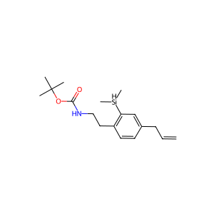 C=CCc1ccc(CCNC(=O)OC(C)(C)C)c([SiH](C)C)c1